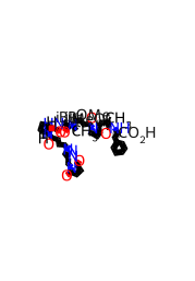 CC[C@H](C)[C@@H]([C@@H](CC(=O)N1CCCC1[C@H](OC)[C@@H](C)C(=O)N[C@@H](Cc1ccccc1)C(=O)O)OC)N(C)C(=O)[C@@H](NC(=O)[C@@H]1[C@H]2CC[C@H](C2)N1C(=O)CCCn1cc(CN2C(=O)C=CC2=O)nn1)C(C)C